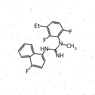 CCc1ccc(F)c(N(C)C(=N)Nc2ccc(F)c3ccccc23)c1F